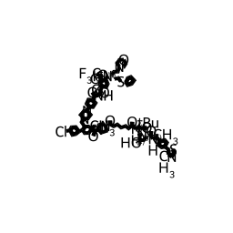 Cc1ncsc1-c1ccc([C@H](C)NC(=O)[C@@H]2C[C@@H](O)CN2C(=O)[C@@H](NC(=O)CCCCCC(=O)N2CCN(C(=O)C3(C)CCC(c4ccc(Cl)cc4)=C(CN4CCN(c5ccc(C(=O)NS(=O)(=O)c6ccc(N[C@@H](CCSc7ccccc7)CCN7CCOCC7)c(S(=O)(=O)C(F)(F)F)c6)cc5)CC4)C3)CC2)C(C)(C)C)cc1